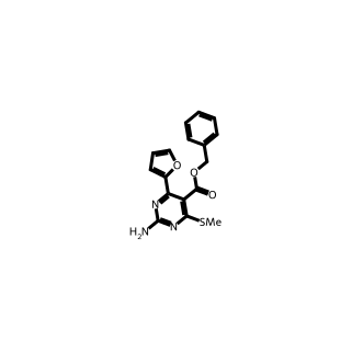 CSc1nc(N)nc(-c2ccco2)c1C(=O)OCc1ccccc1